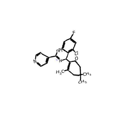 CCC/C(=N\C(C1=C(C)CC(C)(C)CC1=O)c1ccc(F)cc1Cl)c1ccncc1